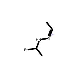 C/C=N\NC(C)CC